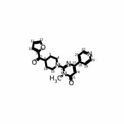 Cn1c(N2CCC(C(=O)c3ccco3)CC2)nc(-c2ccncc2)cc1=O